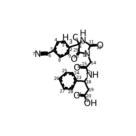 CC1(c2ccc(C#N)cc2)NC(=O)N(CC(=O)NC(CC(=O)O)c2ccccc2)C1=O